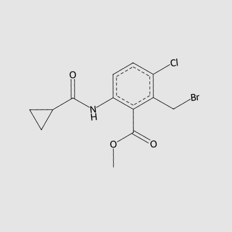 COC(=O)c1c(NC(=O)C2CC2)ccc(Cl)c1CBr